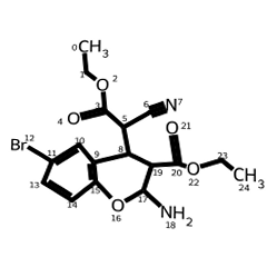 CCOC(=O)C(C#N)C1c2cc(Br)ccc2OC(N)C1C(=O)OCC